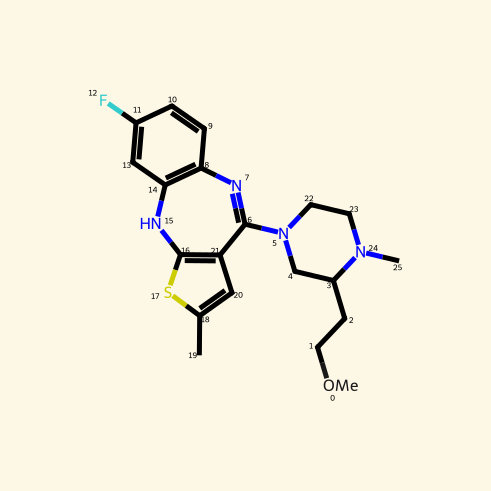 COCCC1CN(C2=Nc3ccc(F)cc3Nc3sc(C)cc32)CCN1C